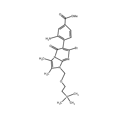 CCc1nc2n(COCC[Si](C)(C)C)c(C)c(C)n2c(=O)c1-c1ccc(C(=O)OC)cc1N